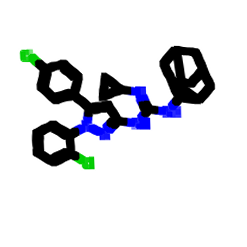 Clc1ccc(-c2cc(NC(=NC3CC3)NC3C4CC5CC(C4)CC3C5)nn2-c2ccccc2Cl)cc1